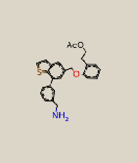 CC(=O)OCCc1ccccc1OCc1cc(-c2cccc(CN)c2)c2sccc2c1